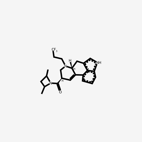 CC1CC(C)N1C(=O)[C@@H]1C=C2c3cccc4[nH]cc(c34)C[C@H]2N(CCC(F)(F)F)C1